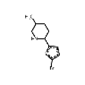 CC1CCC(c2ccc(Br)s2)NC1